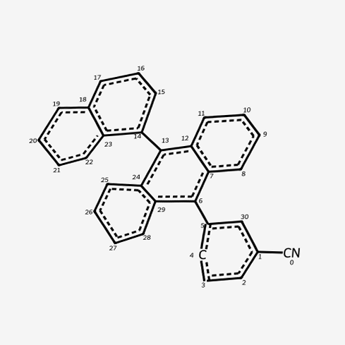 N#Cc1cccc(-c2c3ccccc3c(-c3cccc4ccccc34)c3ccccc23)c1